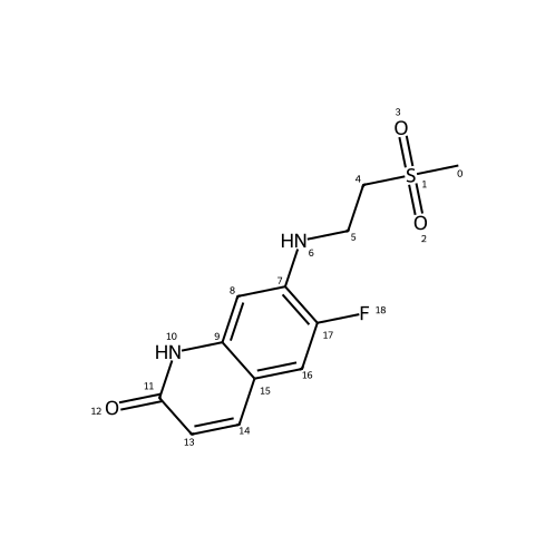 CS(=O)(=O)CCNc1cc2[nH]c(=O)ccc2cc1F